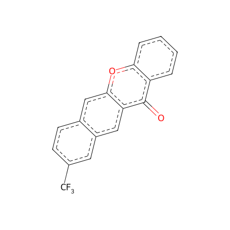 O=c1c2ccccc2oc2cc3ccc(C(F)(F)F)cc3cc12